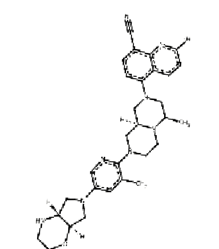 [2H]c1ccc2c(N3C[C@@H]4CN(c5ncc(N6C[C@H]7NCCO[C@@H]7C6)cc5C)CCN4[C@H](C)C3)ccc(C#N)c2n1